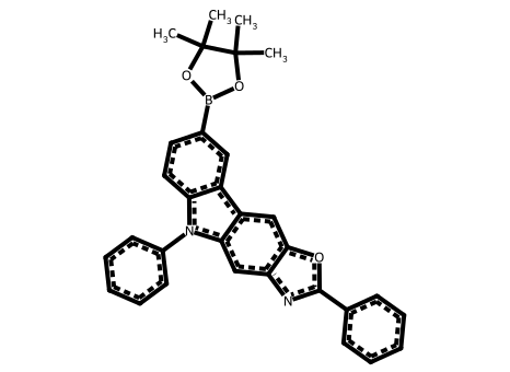 CC1(C)OB(c2ccc3c(c2)c2cc4oc(-c5ccccc5)nc4cc2n3-c2ccccc2)OC1(C)C